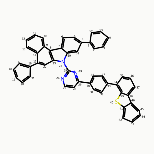 c1ccc(-c2ccc3c4c5ccccc5c(-c5ccccc5)cc4n(-c4nccc(-c5ccc(-c6cccc7c6sc6ccccc67)cc5)n4)c3c2)cc1